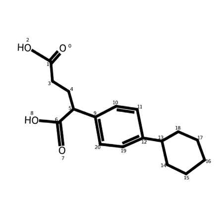 O=C(O)CCC(C(=O)O)c1ccc(C2CCCCC2)cc1